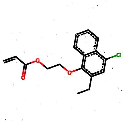 C=CC(=O)OCCOc1c(CC)cc(Cl)c2ccccc12